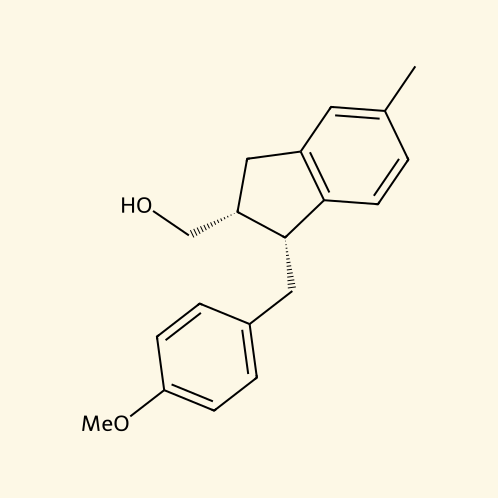 COc1ccc(C[C@H]2c3ccc(C)cc3C[C@H]2CO)cc1